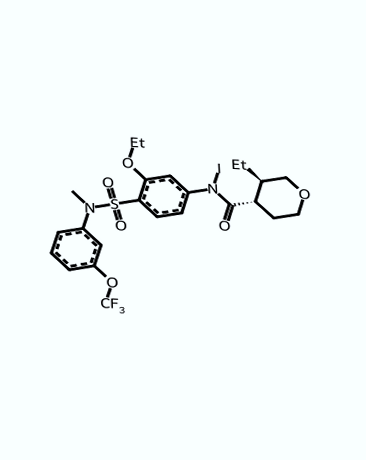 CCOc1cc(N(I)C(=O)[C@H]2CCOC[C@@H]2CC)ccc1S(=O)(=O)N(C)c1cccc(OC(F)(F)F)c1